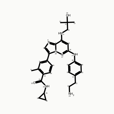 Cc1cc(-c2cnc3c(NCC(C)(C)O)cc(Nc4ccc(CCN)cc4)nn23)ccc1C(=O)NC1CC1